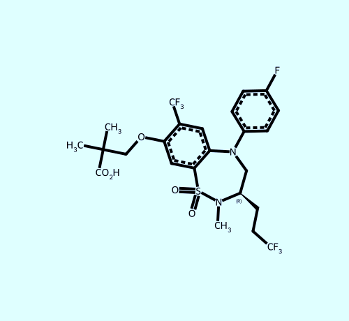 CN1[C@H](CCC(F)(F)F)CN(c2ccc(F)cc2)c2cc(C(F)(F)F)c(OCC(C)(C)C(=O)O)cc2S1(=O)=O